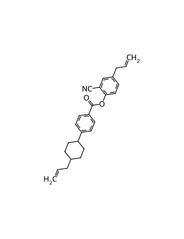 C=CCc1ccc(OC(=O)c2ccc(C3CCC(CC=C)CC3)cc2)c(C#N)c1